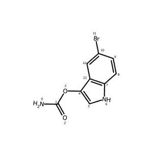 NC(=O)Oc1c[nH]c2ccc(Br)cc12